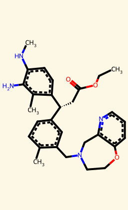 CCOC(=O)C[C@H](c1ccc(C)c(CN2CCOc3cccnc3C2)c1)c1ccc(NC)c(N)c1C